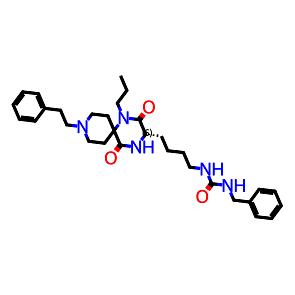 CCCN1C(=O)[C@H](CCCCNC(=O)NCc2ccccc2)NC(=O)C12CCN(CCc1ccccc1)CC2